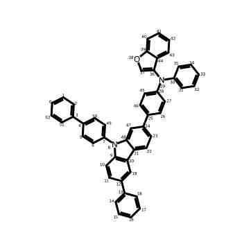 c1ccc(-c2ccc(-n3c4ccc(-c5ccccc5)cc4c4ccc(-c5ccc(N(c6ccccc6)c6coc7ccccc67)cc5)cc43)cc2)cc1